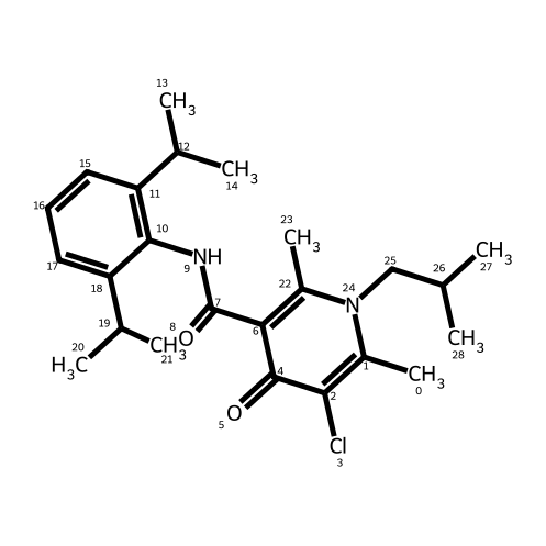 Cc1c(Cl)c(=O)c(C(=O)Nc2c(C(C)C)cccc2C(C)C)c(C)n1CC(C)C